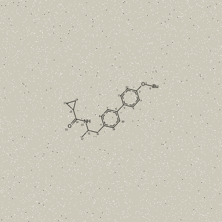 CCC(C)Oc1ccc(-c2ccc(CC(C)NC(=O)C3CC3)cc2)cc1